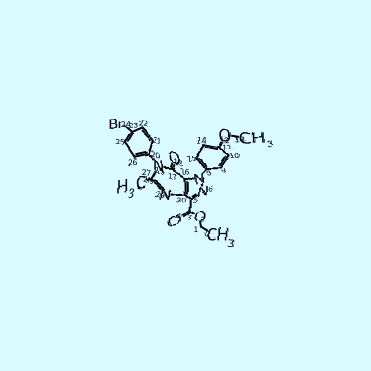 CCOC(=O)c1nn(-c2ccc(OC)cc2)c2c(=O)n(-c3ccc(Br)cc3)c(C)nc12